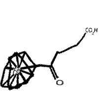 O=C(O)CCC(=O)[C]12[CH]3[CH]4[CH]5[CH]1[Fe]45321678[CH]2[CH]1[CH]6[CH]7[CH]28